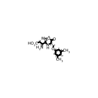 COC(=O)[C@H](COc1cc(C)cc(C)c1)NC(=O)[C@@H](N)CC(=O)O